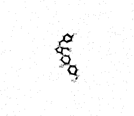 COc1ccc([C@H]2CCN(C3CCN(Cc4ccc(F)cc4)C3C=O)C[C@@H]2O)cc1